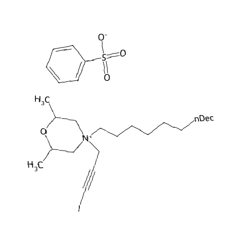 CCCCCCCCCCCCCCCC[N+]1(CC#CI)CC(C)OC(C)C1.O=S(=O)([O-])c1ccccc1